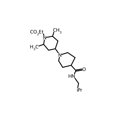 CCOC(=O)N1C(C)CC(N2CCC(C(=O)NCC(C)C)CC2)CC1C